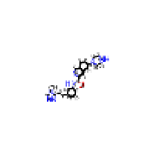 Cn1cnnc1CCc1cccc(NC(=O)c2cc3cc(N4CCNCC4)ccc3cn2)c1